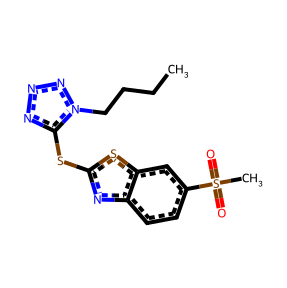 CCCCn1nnnc1Sc1nc2ccc(S(C)(=O)=O)cc2s1